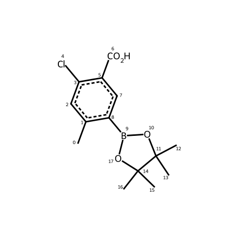 Cc1cc(Cl)c(C(=O)O)cc1B1OC(C)(C)C(C)(C)O1